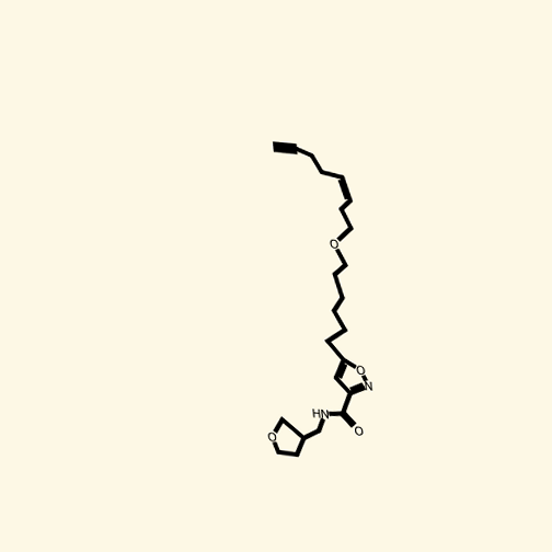 C#CCC/C=C\CCOCCCCCCc1cc(C(=O)NCC2CCOC2)no1